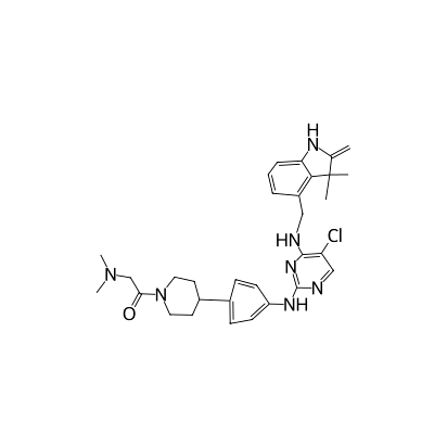 C=C1Nc2cccc(CNc3nc(Nc4ccc(C5CCN(C(=O)CN(C)C)CC5)cc4)ncc3Cl)c2C1(C)C